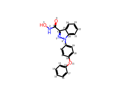 O=C(NO)c1nn(-c2ccc(Oc3ccccc3)cc2)c2ccccc12